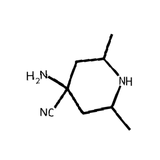 CC1CC(N)(C#N)CC(C)N1